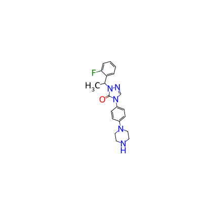 CC(c1ccccc1F)n1ncn(-c2ccc(N3CCNCC3)cc2)c1=O